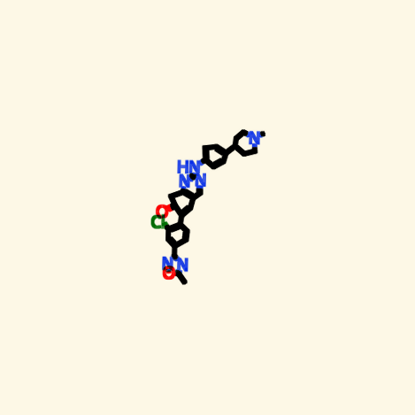 Cc1nc(-c2ccc(C3=Cc4cnc(Nc5ccc(C6CCN(C)CC6)cc5)nc4CC3=O)c(Cl)c2)no1